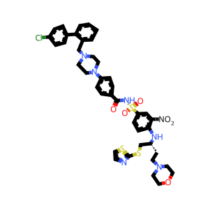 O=C(NS(=O)(=O)c1ccc(N[C@H](CCN2CCOCC2)CSc2nccs2)c([N+](=O)[O-])c1)c1ccc(N2CCN(Cc3ccccc3-c3ccc(Cl)cc3)CC2)cc1